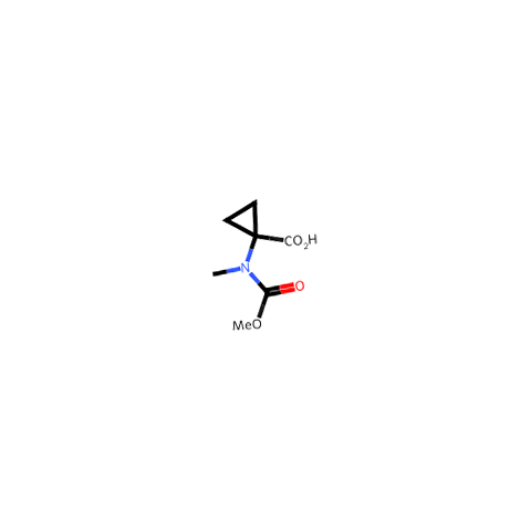 COC(=O)N(C)C1(C(=O)O)CC1